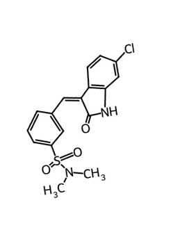 CN(C)S(=O)(=O)c1cccc(C=C2C(=O)Nc3cc(Cl)ccc32)c1